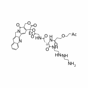 CCC1(OC(=O)CNC(=O)C[C@H](NC(=O)CCOCCC(C)=O)C(=O)NCCNNCCN)C(=O)OCc2c1cc1n(c2=O)Cc2cc3ccccc3nc2-1